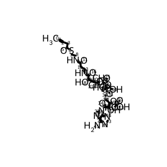 CC#CCC(=O)SCCNC(=O)CCNC(=O)[C@H](O)C(C)(C)COP(=O)(O)OP(=O)(O)OC[C@H]1O[C@@H](n2cnc3c(N)ncnc32)[C@H](O)[C@@H]1OP(=O)(O)O